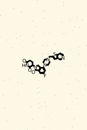 O=C1CCC(N2Cc3c(cc(F)cc3N3CCN(Cc4cc5cnccc5s4)CC3)C2=O)C(=O)N1